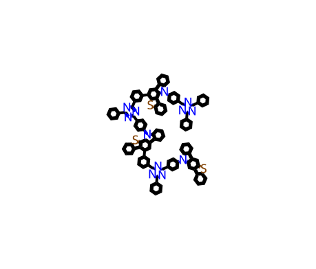 c1ccc(-c2nc(-c3ccccc3)nc(-c3ccc(-n4c5ccccc5c5cc(-c6cccc(-c7nc(-c8ccccc8)nc(-c8ccc(-n9c%10ccccc%10c%10cc(-c%11cccc(-c%12nc(-c%13ccccc%13)nc(-c%13ccc(-n%14c%15ccccc%15c%15cc%16sc%17ccccc%17c%16cc%15%14)cc%13)n%12)c%11)c%11c%12ccccc%12sc%11c%109)cc8)n7)c6)c6sc7ccccc7c6c54)cc3)n2)cc1